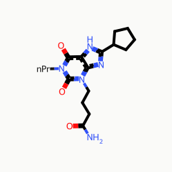 CCCn1c(=O)c2[nH]c(C3CCCC3)nc2n(CCCC(N)=O)c1=O